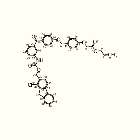 C=CCOC(=O)COc1ccc(COc2ccc(C(=O)c3cccc(NC(=O)OCc4ccc5c(c4Cl)Cc4ccccc4-5)c3)cc2)cc1